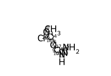 COc1ccc(COc2ccc3[nH]nc(N)c3c2)cc1Cl